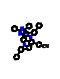 N#Cc1ccc(-c2ccc(-c3cc(-c4nc(-c5ccccc5)nc(-c5ccccc5)n4)ccc3-n3c4ccccc4c4cc(-c5ccccc5)ccc43)c(-n3c4ccccc4c4cc(-c5ccccc5)ccc43)c2)cc1